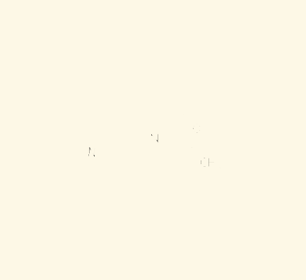 CC1CN(c2ccncc2)CCO1